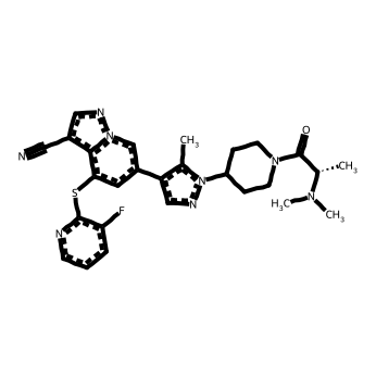 Cc1c(-c2cc(Sc3ncccc3F)c3c(C#N)cnn3c2)cnn1C1CCN(C(=O)[C@H](C)N(C)C)CC1